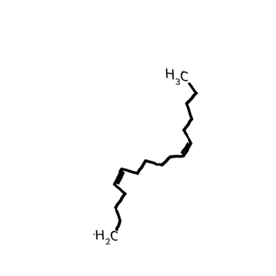 [CH2]CCC/C=C\CCCC/C=C\CCCCC